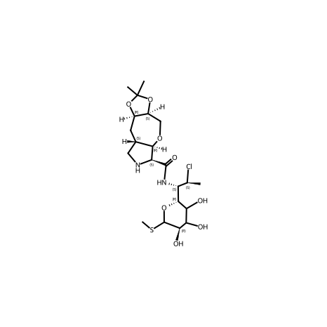 CSC1O[C@H]([C@H](NC(=O)[C@H]2NC[C@@H]3C[C@H]4OC(C)(C)O[C@H]4CO[C@H]32)[C@H](C)Cl)C(O)C(O)[C@H]1O